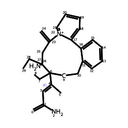 C=C(N)/C=C(\C)C1(CC)CCc2ccccc2-c2cccc[n+]2C(=C)CC1(N)CC